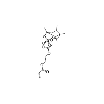 C=CC(=O)OCCOC(=O)COC1(C)C2(C)CC3C(C2C)C1(C)OS3(=O)=O